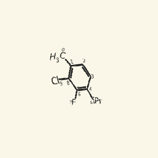 Cc1ccc(C(C)C)c(F)c1Cl